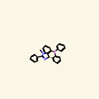 CN1C[C@H](c2ccccc2P(c2ccccc2)c2ccccc2)N=C1c1ccccc1